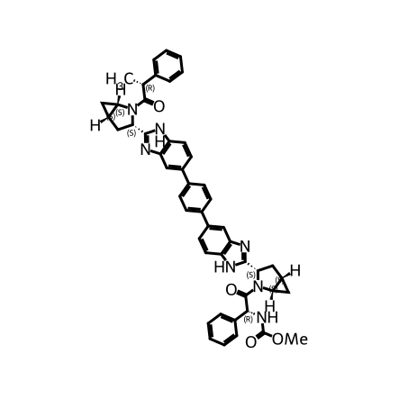 COC(=O)N[C@@H](C(=O)N1[C@H](c2nc3cc(-c4ccc(-c5ccc6[nH]c([C@@H]7C[C@@H]8C[C@@H]8N7C(=O)[C@H](C)c7ccccc7)nc6c5)cc4)ccc3[nH]2)C[C@@H]2C[C@@H]21)c1ccccc1